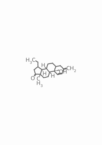 C=C1C=C[C@@]2(CO)C(CC[C@@H]3[C@H]2CC[C@]2(C)C(=O)CC(CC)[C@@H]32)C1